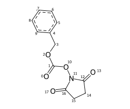 O=C(OCc1cc[c]cc1)ON1C(=O)CCC1=O